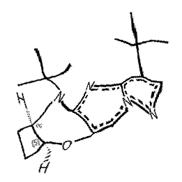 CC(C)(C)c1cnn2cc3c(nc12)N(C(C)(C)C)[C@@H]1CC[C@@H]1O3